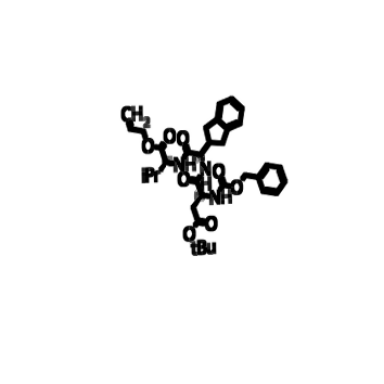 C=CCOC(=O)[C@@H](NC(=O)[C@@H](NC(=O)[C@H](CC(=O)OC(C)(C)C)NC(=O)OCc1ccccc1)C1Cc2ccccc2C1)C(C)C